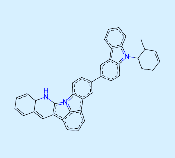 CC1C=CCCC1n1c2ccccc2c2cc(-c3ccc4c(c3)c3cccc5c6c(n4c53)NC3C=CC=CC3=C6)ccc21